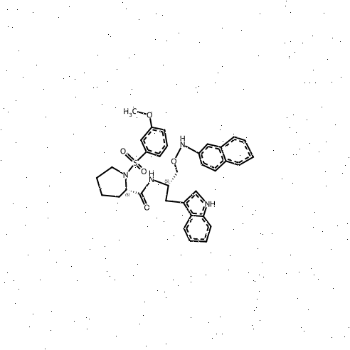 COc1cccc(S(=O)(=O)N2CCCC[C@H]2C(=O)N[C@H](CONc2ccc3ccccc3c2)Cc2c[nH]c3ccccc23)c1